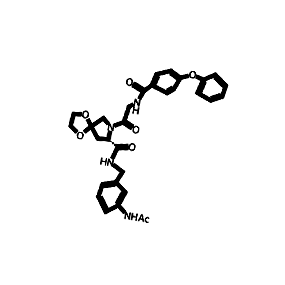 CC(=O)Nc1cccc(CNC(=O)[C@@H]2CC3(CN2C(=O)CNC(=O)c2ccc(Oc4ccccc4)cc2)OCCO3)c1